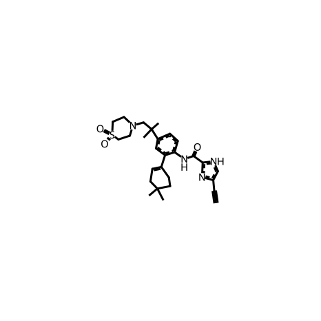 C#Cc1c[nH]c(C(=O)Nc2ccc(C(C)(C)CN3CCS(=O)(=O)CC3)cc2C2=CCC(C)(C)CC2)n1